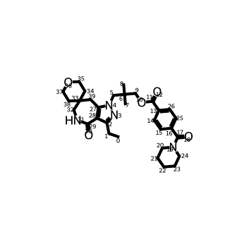 CCc1nn(CC(C)(C)COC(=O)c2ccc(C(=O)N3CCCCC3)cc2)c2c1C(=O)NCC1(CCOCC1)C2